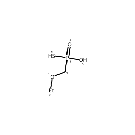 CCOCP(=O)(O)S